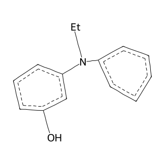 CCN(c1ccccc1)c1cccc(O)c1